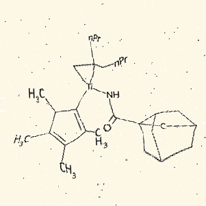 CCC[C]1(CCC)[CH2][Ti]1([NH]C(=O)C12CC3CC(CC1C3)C2)[C]1=C(C)C(C)=C(C)C1C